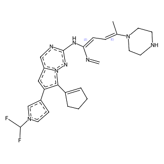 C=N/C(=C\C=C(/C)N1CCNCC1)Nc1ncc2cc(-c3ccn(C(F)F)c3)c(C3=CCCC3)n2n1